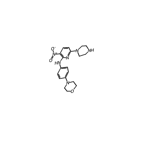 O=[N+]([O-])c1ccc(N2CCNCC2)nc1Nc1ccc(N2CCOCC2)cc1